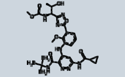 BC(B)(B)NC(=O)c1nnc(NC(=O)C2CC2)cc1Nc1cccc(-c2nc([C@@H](NC(=O)OC)[C@@H](C)O)no2)c1OC